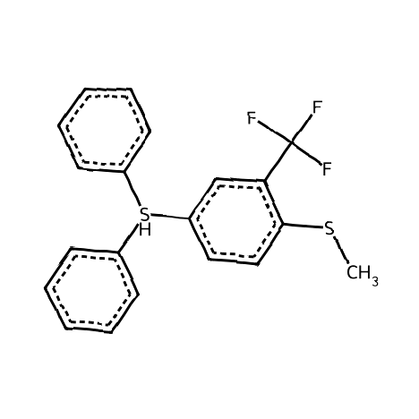 CSc1ccc([SH](c2ccccc2)c2ccccc2)cc1C(F)(F)F